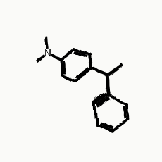 CC(c1ccccc1)c1ccc(N(C)C)cc1